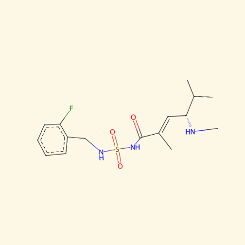 CN[C@H](/C=C(\C)C(=O)NS(=O)(=O)NCc1ccccc1F)C(C)C